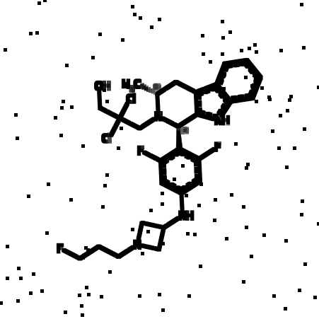 C[C@@H]1Cc2c([nH]c3ccccc23)[C@@H](c2c(F)cc(NC3CN(CCCF)C3)cc2F)N1CC(Cl)(Cl)CO